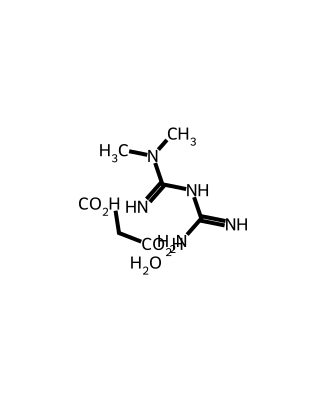 CN(C)C(=N)NC(=N)N.O.O=C(O)CC(=O)O